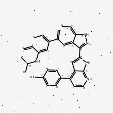 C=C/C(=C\C(=C/C)C(=C)/C=c1/c(-c2cc3c(-c4ccc(F)cc4)ccnc3[nH]2)n[nH]/c1=C/C)NC(C)C